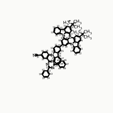 CC(C)(C)c1cc2c3c(c1)c1ccccc1n3-c1cc(-c3ccc4c(c3)c3ccccc3n4-c3ccc(C#N)cc3-c3nc(-c4ccccc4)nc(-c4ccccc4)n3)cc3c1B2c1cc(C(C)(C)C)cc2c4ccccc4n-3c12